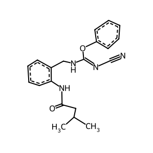 CC(C)CC(=O)Nc1ccccc1CN/C(=N/C#N)Oc1ccccc1